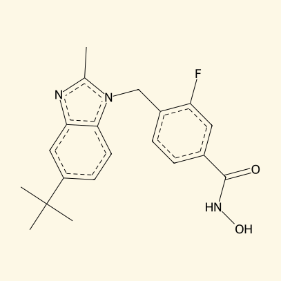 Cc1nc2cc(C(C)(C)C)ccc2n1Cc1ccc(C(=O)NO)cc1F